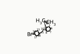 CN(C)Cc1ccccc1CCc1ccc(Br)cc1